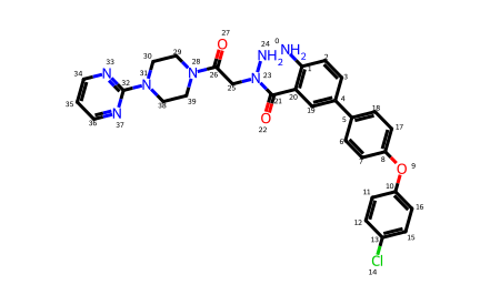 Nc1ccc(-c2ccc(Oc3ccc(Cl)cc3)cc2)cc1C(=O)N(N)CC(=O)N1CCN(c2ncccn2)CC1